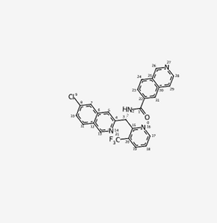 O=C(N[C@@H](c1cc2cc(Cl)ccc2cn1)c1ncccc1C(F)(F)F)c1ccc2cnccc2c1